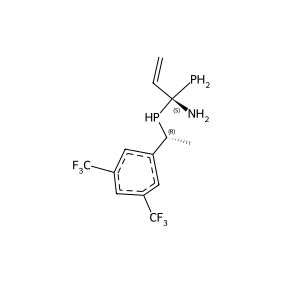 C=C[C@](N)(P)P[C@H](C)c1cc(C(F)(F)F)cc(C(F)(F)F)c1